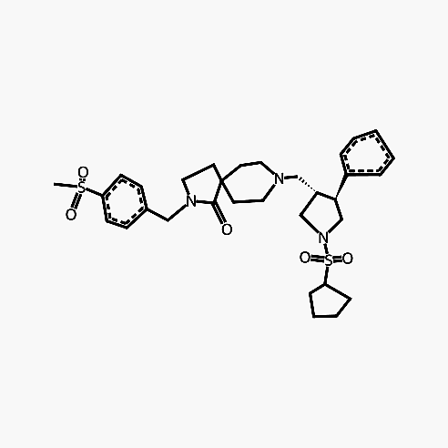 CS(=O)(=O)c1ccc(CN2CCC3(CCN(C[C@H]4CN(S(=O)(=O)C5CCCC5)C[C@@H]4c4ccccc4)CC3)C2=O)cc1